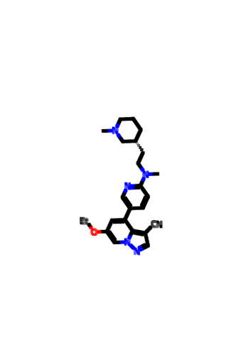 CCOc1cc(-c2ccc(N(C)CC[C@H]3CCCN(C)C3)nc2)c2c(C#N)cnn2c1